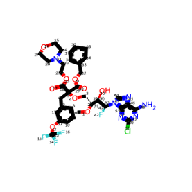 CO[C@H](COC(Cc1cccc(OC(F)(F)F)c1)(C(=O)OCCN1CCOCC1)C(=O)OCc1ccccc1)[C@@H](O)[C@H](F)n1cnc2c(N)nc(Cl)nc21